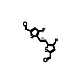 O=Cc1cc(F)c(/C=C/c2sc(C=O)cc2F)s1